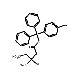 CC(=O)c1ccc(C(OC(=O)CC(O)(CC(=O)O)C(=O)O)(c2ccccc2)c2ccccc2)cc1